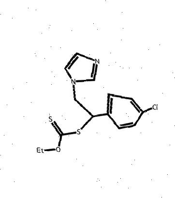 CCOC(=S)SC(Cn1ccnc1)c1ccc(Cl)cc1